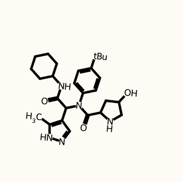 Cc1[nH]ncc1C(C(=O)NC1CCCCC1)N(C(=O)C1CC(O)CN1)c1ccc(C(C)(C)C)cc1